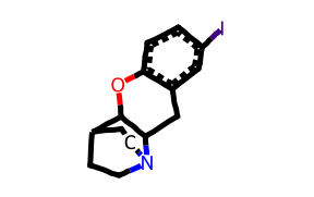 Ic1ccc2c(c1)CC1C(O2)C2CCN1CC2